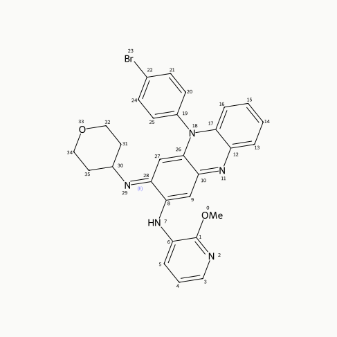 COc1ncccc1Nc1cc2nc3ccccc3n(-c3ccc(Br)cc3)c-2c/c1=N\C1CCOCC1